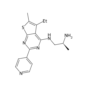 CCc1c(C)sc2nc(-c3ccncc3)nc(NC[C@H](C)N)c12